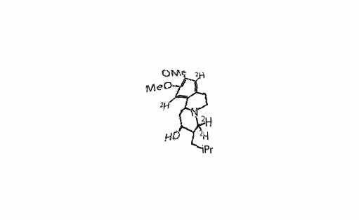 [2H]c1c2c(c([2H])c(OC)c1OC)C1CC(O)C(CC(C)C)C([2H])([2H])N1CC2